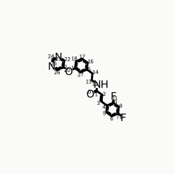 O=C(C=Cc1ccc(F)cc1F)NCCc1cccc(Oc2cncnc2)c1